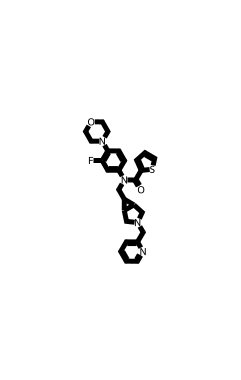 O=C(c1cccs1)N(CC1C2CN(Cc3ccccn3)CC21)c1ccc(N2CCOCC2)c(F)c1